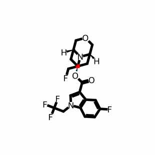 O=C(O[C@H]1C[C@H]2COC[C@@H](C1)N2CCF)c1cn(CC(F)(F)F)c2ccc(F)cc12